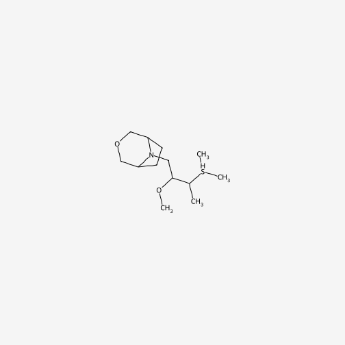 COC(CN1C2CCC1COC2)C(C)[SH](C)C